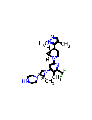 Cc1cnn(C)c1[C@H]1CCN(c2cc(N3C[C@@H](N4CCNCC4)[C@H]3C)c(C)c(C(F)F)n2)[C@H]2C[C@@H]12